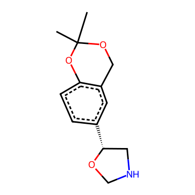 CC1(C)OCc2cc([C@@H]3CNCO3)ccc2O1